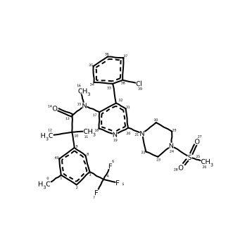 Cc1cc(C(F)(F)F)cc(C(C)(C)C(=O)N(C)c2cnc(N3CCN(S(C)(=O)=O)CC3)cc2-c2ccccc2Cl)c1